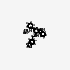 O=C(O)O.c1ccc2c(c1)[nH]c1nc(C3CCCCC3)nc(NCc3ccc4c(c3)OCO4)c12